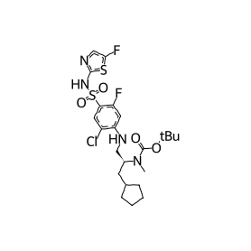 CN(C(=O)OC(C)(C)C)[C@H](CNc1cc(F)c(S(=O)(=O)Nc2ncc(F)s2)cc1Cl)CC1CCCC1